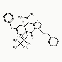 CN(C)[C@@H]1c2onc(OCc3ccccc3)c2C(=O)C2(O[Si](C)(C)C(C)(C)C)C(=O)C=C(Sc3ccccc3)C[C@@H]12